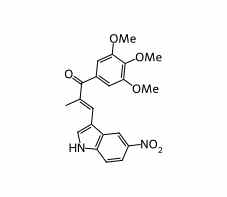 COc1cc(C(=O)/C(C)=C/c2c[nH]c3ccc([N+](=O)[O-])cc23)cc(OC)c1OC